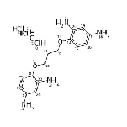 Cl.Cl.Cl.Cl.Nc1ccc(OCCCOc2ccc(N)cc2N)c(N)c1